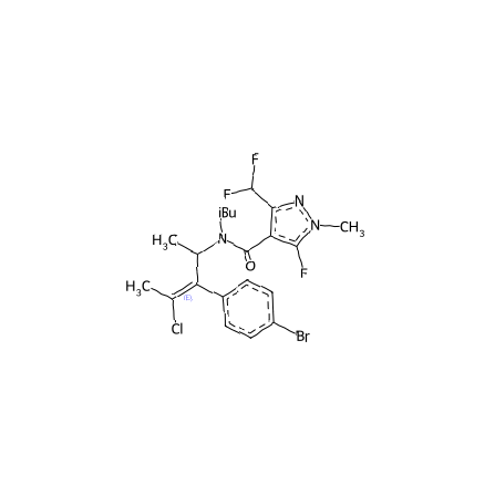 CCC(C)N(C(=O)c1c(C(F)F)nn(C)c1F)C(C)/C(=C(\C)Cl)c1ccc(Br)cc1